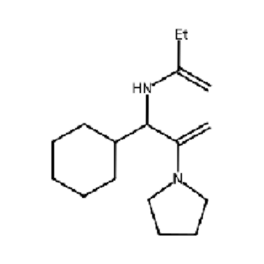 C=C(CC)NC(C(=C)N1CCCC1)C1CCCCC1